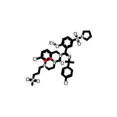 CCOc1ccc(S(=O)(=O)N2CCCC2)cc1/C(=N/C(C)(C)C1C=CC(Cl)=CC1)N(Cc1ccc(Cl)cc1)C(=O)N1CCN(CCCS(C)(=O)=O)CC1